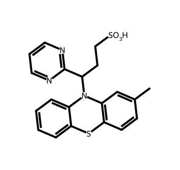 Cc1ccc2c(c1)N(C(CCS(=O)(=O)O)c1ncccn1)c1ccccc1S2